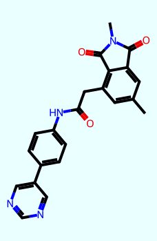 Cc1cc(CC(=O)Nc2ccc(-c3cncnc3)cc2)c2c(c1)C(=O)N(C)C2=O